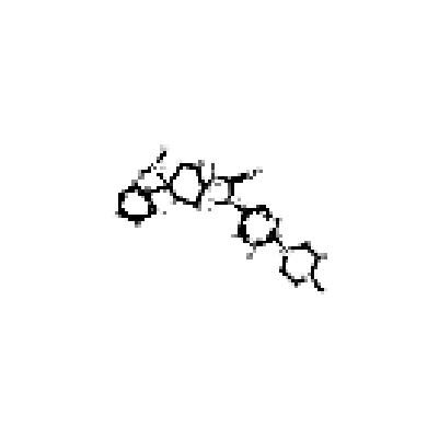 CN1CCN(c2ncc(N3C[C@]4(CC[C@](c5ccccc5)(N(C)C)CC4)NC3=O)cn2)CC1